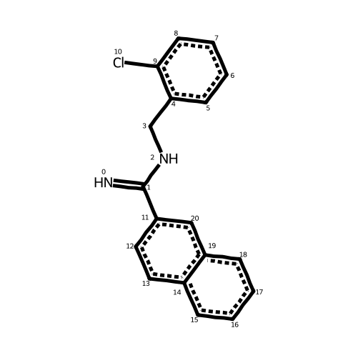 N=C(NCc1ccccc1Cl)c1ccc2ccccc2c1